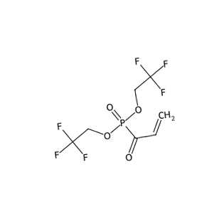 C=CC(=O)P(=O)(OCC(F)(F)F)OCC(F)(F)F